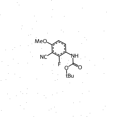 COc1ccc(NC(=O)OC(C)(C)C)c(F)c1C#N